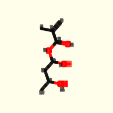 C=C(C)C(=O)OC(O)CC(C)O